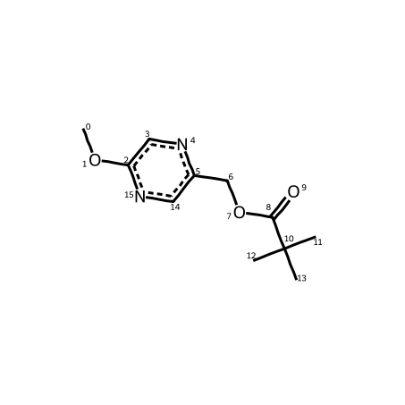 COc1cnc(COC(=O)C(C)(C)C)cn1